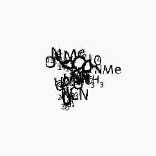 CNC(=O)c1ccc2c(c1)CCc1cc(C(=O)NC)ccc1C2(C[C@H](C)NCC(=O)N1CCCC1C#N)c1nn(C)c(=O)[nH]1